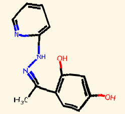 CC(=NNc1ccccn1)c1ccc(O)cc1O